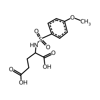 COc1ccc(S(=O)(=O)NC(CCC(=O)O)C(=O)O)cc1